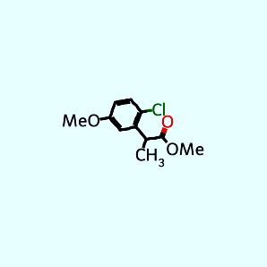 COC(=O)C(C)c1cc(OC)ccc1Cl